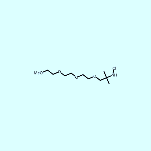 COCCOCCOCCOCC(C)(C)NCl